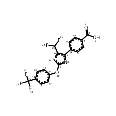 O=C(O)c1ccc(-c2nc(Oc3ccc(C(F)(F)F)cc3)sc2C(F)F)cc1